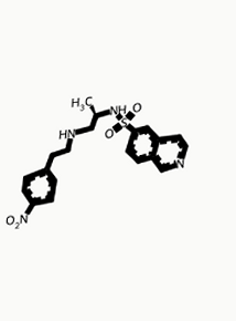 C[C@H](CNCCc1ccc([N+](=O)[O-])cc1)NS(=O)(=O)c1ccc2cnccc2c1